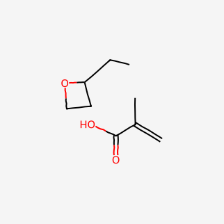 C=C(C)C(=O)O.CCC1CCO1